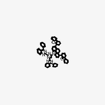 c1ccc(-c2nc(-c3cc(-n4c5ccc(-c6cccc7c6oc6ccccc67)c6ccc7c(-c8cccc9c8oc8ccccc89)ccc4c7c65)nc(-c4nc(-c5ccccc5)c5ccccc5n4)n3)nc3ccccc23)cc1